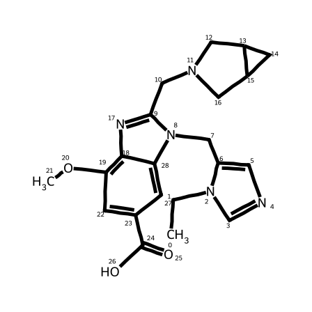 CCn1cncc1Cn1c(CN2CC3CC3C2)nc2c(OC)cc(C(=O)O)cc21